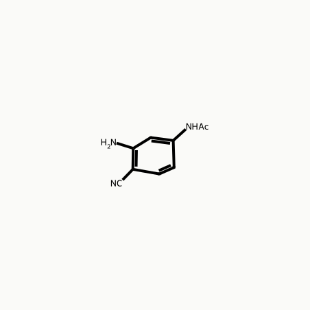 CC(=O)Nc1ccc(C#N)c(N)c1